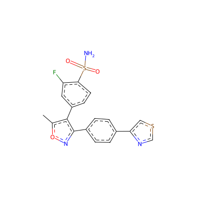 Cc1onc(-c2ccc(-c3cscn3)cc2)c1-c1ccc(S(N)(=O)=O)c(F)c1